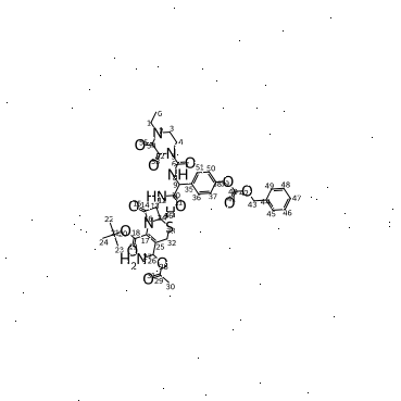 CCN1CCN(C(=O)NC(C(=O)N[C@H]2C(=O)N3C(C(=O)OC(C)(C)C)=C(C(N)OC(C)=O)CS[C@H]23)c2ccc(OC(=O)OCc3ccccc3)cc2)C(=O)C1=O